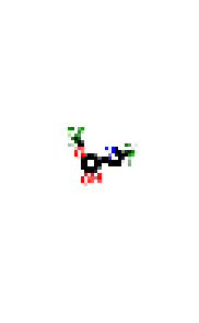 Oc1cc(OCC(F)(F)F)cc(-c2ccc(C(F)(F)F)cn2)c1